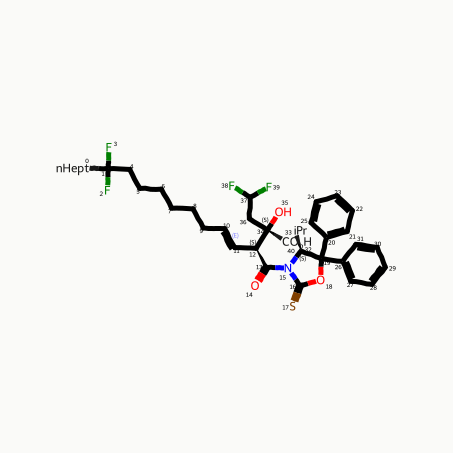 CCCCCCCC(F)(F)CCCCCC/C=C/[C@H](C(=O)N1C(=S)OC(c2ccccc2)(c2ccccc2)[C@@H]1C(C)C)[C@@](O)(CC(F)F)C(=O)O